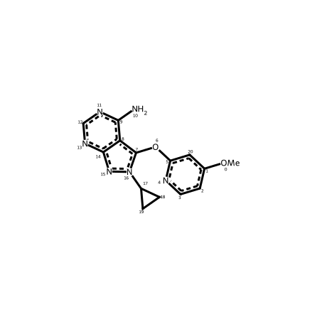 COc1ccnc(Oc2c3c(N)ncnc3nn2C2CC2)c1